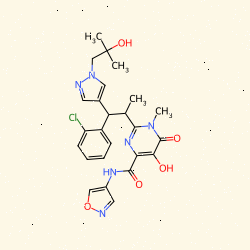 CC(c1nc(C(=O)Nc2cnoc2)c(O)c(=O)n1C)C(c1cnn(CC(C)(C)O)c1)c1ccccc1Cl